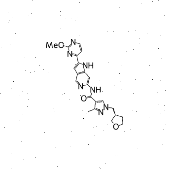 COc1nccc(-c2cc3cnc(NC(=O)c4cn(C[C@H]5CCOC5)nc4C)cc3[nH]2)n1